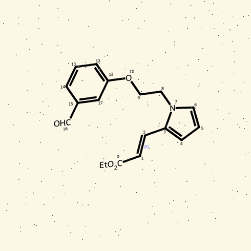 CCOC(=O)/C=C/c1cccn1CCOc1cccc(C=O)c1